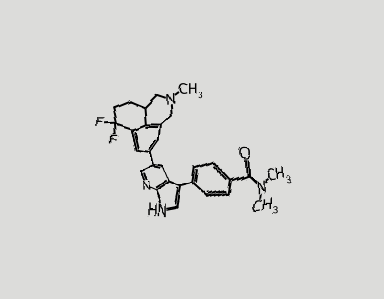 CN1Cc2cc(-c3cnc4[nH]cc(-c5ccc(C(=O)N(C)C)cc5)c4c3)cc3c2C(CCC3(F)F)C1